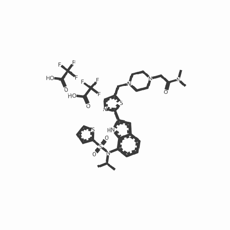 CC(C)N(c1cccc2cc(-c3ncc(CN4CCN(CC(=O)N(C)C)CC4)s3)[nH]c12)S(=O)(=O)c1cccs1.O=C(O)C(F)(F)F.O=C(O)C(F)(F)F